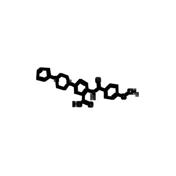 COc1ccc(C(=O)Nc2ccc(N3CCN(c4ccccc4)CC3)cc2C(=O)O)cc1